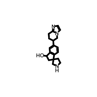 OC1CC2(CCNC2)c2ccc(C3CCc4nccn4C3)cc21